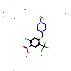 CN1CCN(Cc2cc(F)c([N+](=O)[O-])cc2C(F)(F)F)CC1